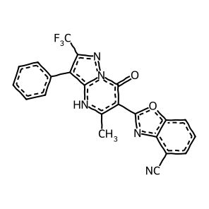 Cc1[nH]c2c(-c3ccccc3)c(C(F)(F)F)nn2c(=O)c1-c1nc2c(C#N)cccc2o1